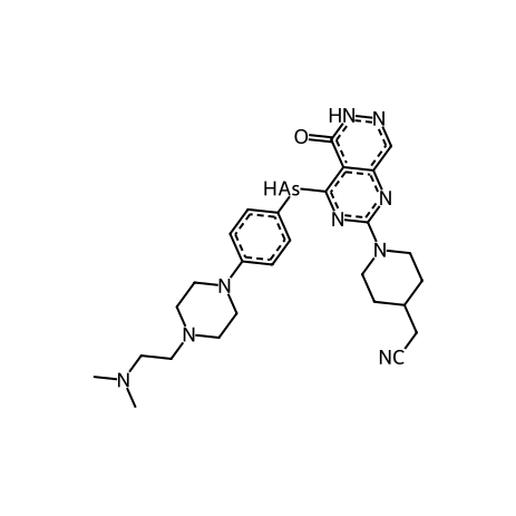 CN(C)CCN1CCN(c2ccc([AsH]c3nc(N4CCC(CC#N)CC4)nc4cn[nH]c(=O)c34)cc2)CC1